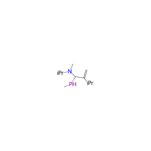 C=C(C(C)C)C(PC)N(C)C(C)C